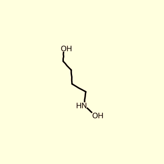 OCCCCNO